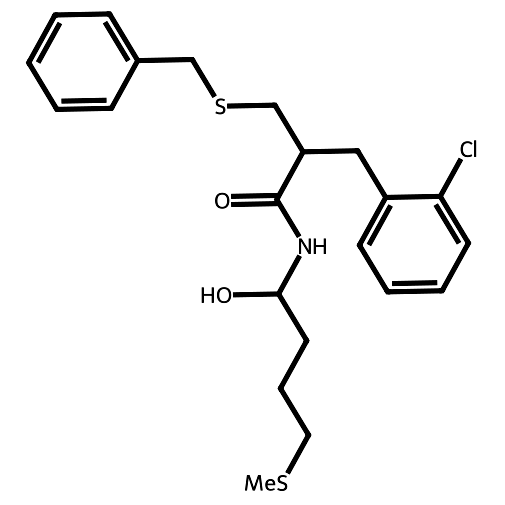 CSCCCC(O)NC(=O)C(CSCc1ccccc1)Cc1ccccc1Cl